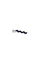 [CH2]/C=C/CC/C=C/C[CH2]